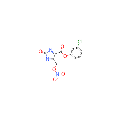 O=C1N=C(CO[N+](=O)[O-])C(C(=O)Oc2cccc(Cl)c2)=N1